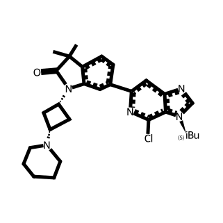 CC[C@H](C)n1cnc2cc(-c3ccc4c(c3)N([C@H]3C[C@@H](N5CCCCC5)C3)C(=O)C4(C)C)nc(Cl)c21